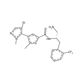 CCc1cnn(C)c1-c1cc(C(=O)N[C@H](CN)Cc2ccccc2C(F)(F)F)sc1C